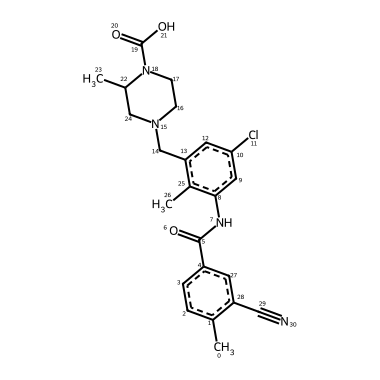 Cc1ccc(C(=O)Nc2cc(Cl)cc(CN3CCN(C(=O)O)C(C)C3)c2C)cc1C#N